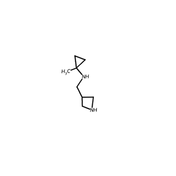 CC1(NCC2CNC2)CC1